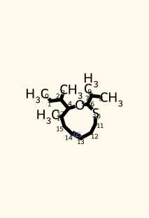 CCC(C)C1OC(C(C)C)SCC/C=C\CC1C